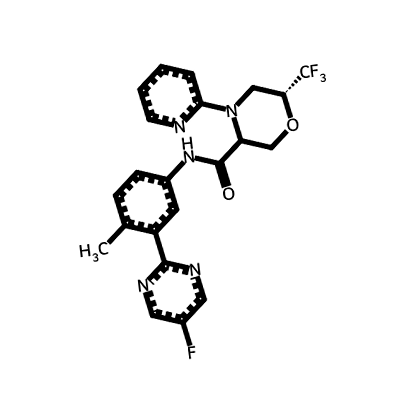 Cc1ccc(NC(=O)C2CO[C@@H](C(F)(F)F)CN2c2ccccn2)cc1-c1ncc(F)cn1